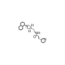 O=C(/C=C/c1cccnc1)NCCC1[C@H]2CN(c3cccc4ccccc34)C[C@@H]12